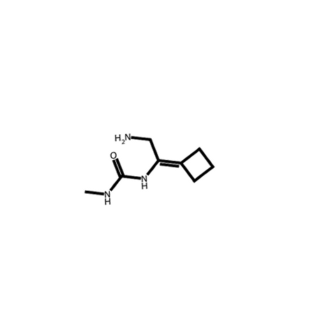 CNC(=O)NC(CN)=C1CCC1